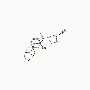 N#C[C@@H]1C[C@@H](C(=O)C(O)NC2CC3CCC(C2)N3c2ncccn2)CN1